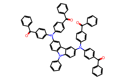 O=C(c1ccccc1)c1ccc(N(c2ccc(C(=O)c3ccccc3)cc2)c2ccc3c(c2)c2cc(N(c4ccc(C(=O)c5ccccc5)cc4)c4ccc(C(=O)c5ccccc5)cc4)ccc2n3-c2ccccc2)cc1